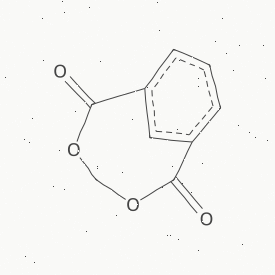 O=C1OCOC(=O)c2cccc1c2